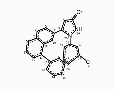 O=c1cc(-c2ccc3nccc(-c4ccncc4)c3c2)n(-c2cccc(Cl)c2)[nH]1